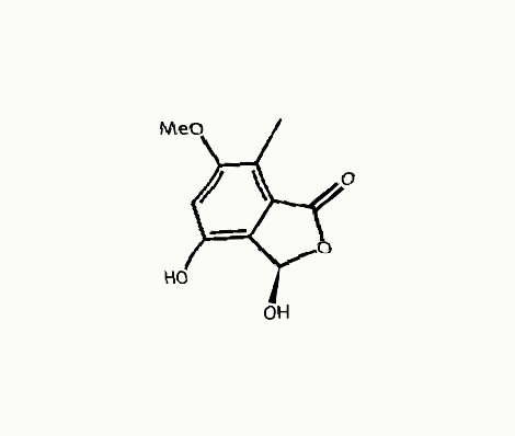 COc1cc(O)c2c(c1C)C(=O)O[C@H]2O